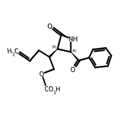 C=CCC(COC(=O)O)[C@H]1C(=O)N[C@H]1C(=O)c1ccccc1